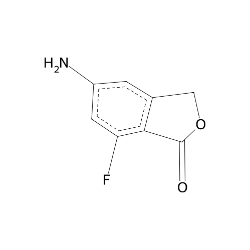 Nc1cc(F)c2c(c1)COC2=O